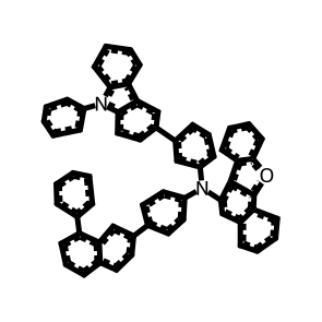 c1ccc(-c2cccc3ccc(-c4ccc(N(c5cccc(-c6ccc7c(c6)c6ccccc6n7-c6ccccc6)c5)c5cc6ccccc6c6oc7ccccc7c56)cc4)cc23)cc1